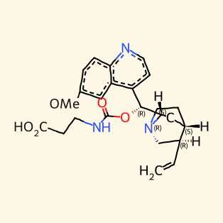 C=C[C@H]1C[N@]2CC[C@H]1C[C@H]2[C@H](OC(=O)NCCC(=O)O)c1ccnc2ccc(OC)cc12